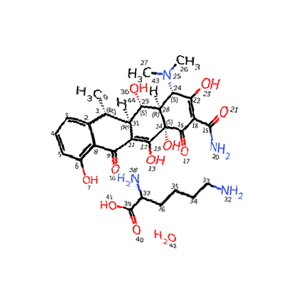 C[C@H]1c2cccc(O)c2C(=O)C2=C(O)[C@]3(O)C(=O)C(C(N)=O)=C(O)[C@@H](N(C)C)[C@@H]3[C@@H](O)[C@@H]21.NCCCCC(N)C(=O)O.O